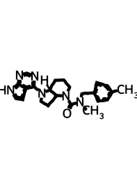 Cc1ccc(CN(C)C(=O)N2CCC[C@@H]3C2CCN3c2ncnc3[nH]ccc23)cc1